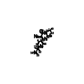 CC1CSc2nc(-c3ccc(C(C)(C)N(C)C)nc3)c(C#N)c(=O)n2C1